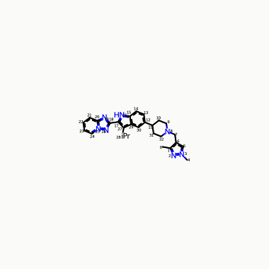 Cc1nn(C)cc1CN1CCC(c2ccc3[nH]c(-c4nc5ccccn5n4)c(C(C)C)c3c2)CC1